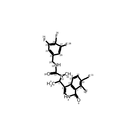 CC(c1c[nH]c(=O)c2c(F)c(F)ccc12)N(C)C(=O)NCc1cc(F)c(F)c(F)c1